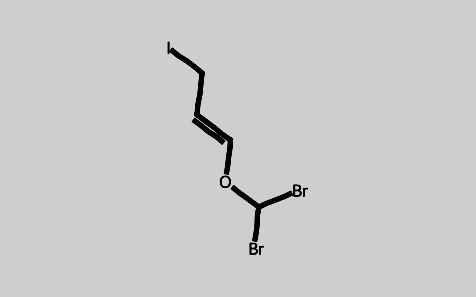 BrC(Br)OC=CCI